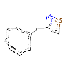 c1ccc(-c2cs[nH]2)cc1